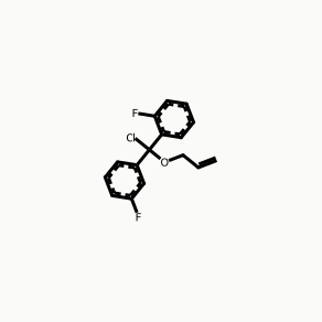 C=CCOC(Cl)(c1cccc(F)c1)c1ccccc1F